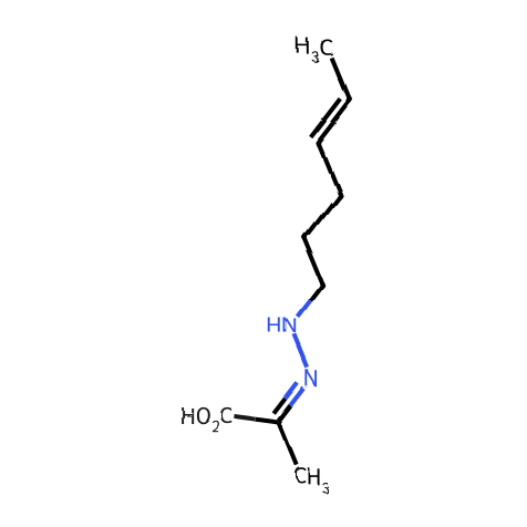 C/C=C/CCCN/N=C(/C)C(=O)O